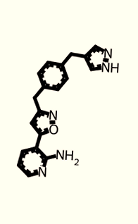 Nc1ncccc1-c1cc(Cc2ccc(Cc3cn[nH]c3)cc2)no1